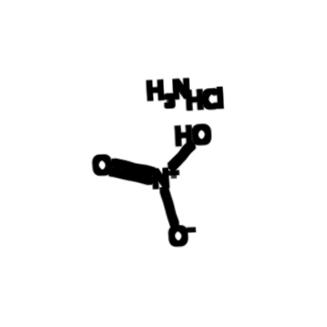 Cl.N.O=[N+]([O-])O